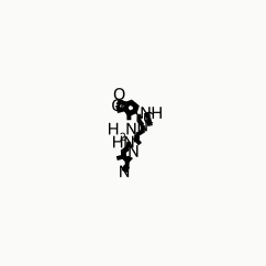 C/C(Nc1cc(C)c(C#N)cn1)=C(/N)CN1CCN[C@H](c2ccc3c(c2C)COC3=O)C1